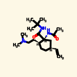 C=C[C@@H]1CC[C@H](CCN(C)C)[C@@](NC(C)=O)(C(=O)NC(C)(C)C)C1